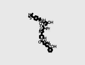 Cc1ncsc1-c1ccc(C(C)(C)NC(=O)[C@@H]2C[C@@H](O)CN2C(=O)[C@H](c2cc(C3CCN(C(=O)c4cc5cc(-c6ccccc6O)nnc5[nH]4)CC3)no2)C(C)C)cc1